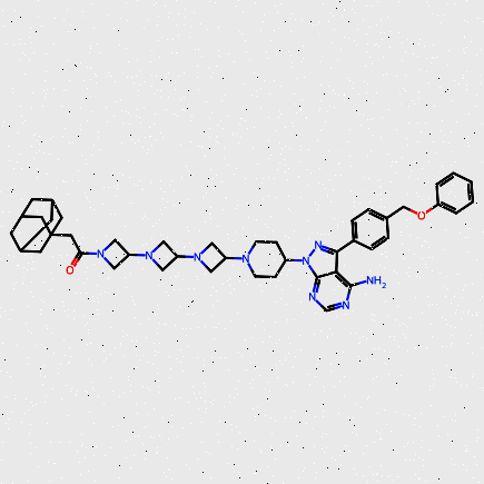 Nc1ncnc2c1c(-c1ccc(COc3ccccc3)cc1)nn2C1CCN(C2CN(C3CN(C4CN(C(=O)CC56CC7CC(CC(C7)C5)C6)C4)C3)C2)CC1